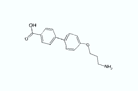 NCCCOc1ccc(-c2ccc(C(=O)O)cc2)cc1